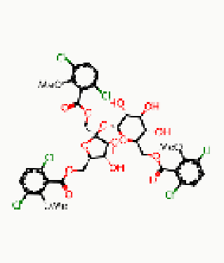 COc1c(Cl)ccc(Cl)c1C(=O)OC[C@H]1O[C@@](COC(=O)c2c(Cl)ccc(Cl)c2OC)(O[C@H]2O[C@H](COC(=O)c3c(Cl)ccc(Cl)c3OC)[C@@H](O)[C@H](O)[C@H]2O)[C@@H](O)[C@@H]1O